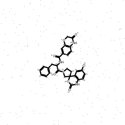 O=C1COc2cc(C(=O)NC(Cc3ccccc3)C(=O)N3CCC4(C3)OC(=O)Nc3ccc(Cl)cc34)ccc2N1